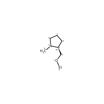 CCOC[C@@H]1CCCN1C